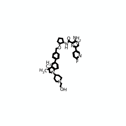 CC1(C)CN(C2CCN(CCO)CC2)c2ccc(-c3ccc(CO[C@H]4CCC[C@@H]4NC(=O)c4nc(-c5ccc(F)nc5)cnc4N)cc3)cc21